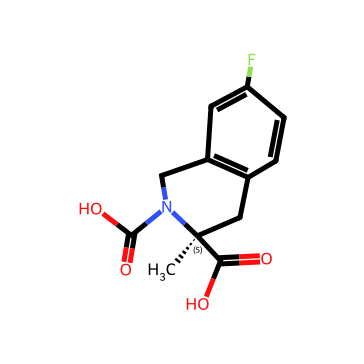 C[C@@]1(C(=O)O)Cc2ccc(F)cc2CN1C(=O)O